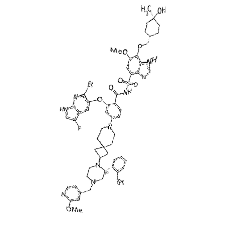 CCc1nc2[nH]cc(F)c2cc1Oc1cc(N2CCC3(CC2)CC(N2CCN(Cc4ccnc(OC)c4)C[C@H]2c2ccccc2C(C)C)C3)ccc1C(=O)NS(=O)(=O)c1cc(OC)c(OC[C@H]2CC[C@](C)(O)CC2)c2[nH]cnc12